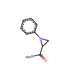 COC(=O)C1CN1c1ccccc1